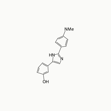 CNc1ccc(-c2ncc(-c3cccc(O)c3)[nH]2)cc1